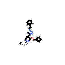 O=C(O)N1CCC(c2cn(CCc3ccccc3)nn2)C(OCc2ccccc2)C1